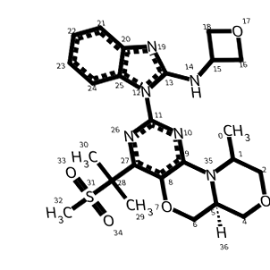 CC1COC[C@H]2COc3c(nc(-n4c(NC5COC5)nc5ccccc54)nc3C(C)(C)S(C)(=O)=O)N12